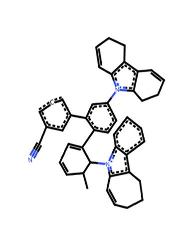 CC1C=CC=C(c2ccc(-n3c4c(c5c3CCC=C5)CCC=C4)cc2-c2cccc(C#N)c2)C1n1c2c(c3ccccc31)CCCC=C2